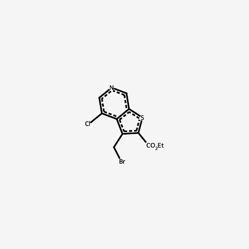 CCOC(=O)c1sc2cncc(Cl)c2c1CBr